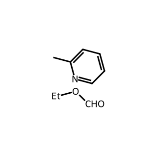 CCOC=O.Cc1ccccn1